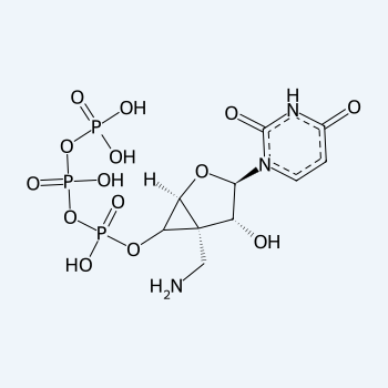 NC[C@]12C(OP(=O)(O)OP(=O)(O)OP(=O)(O)O)[C@H]1O[C@@H](n1ccc(=O)[nH]c1=O)[C@@H]2O